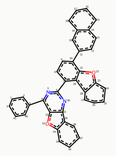 c1ccc(-c2nc(-c3ccc(-c4ccc5ccccc5c4)c4oc5ccccc5c34)nc3c2oc2ccccc23)cc1